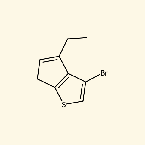 CCC1=CCc2scc(Br)c21